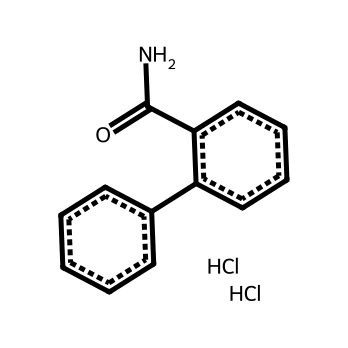 Cl.Cl.NC(=O)c1ccccc1-c1ccccc1